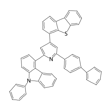 c1ccc(-c2ccc(-c3cc(-c4cccc5c4sc4ccccc45)cc(-c4cccc5c4c4ccccc4n5-c4ccccc4)n3)cc2)cc1